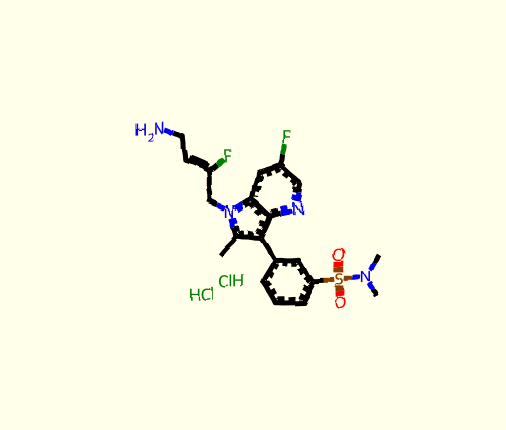 Cc1c(-c2cccc(S(=O)(=O)N(C)C)c2)c2ncc(F)cc2n1C/C(F)=C/CN.Cl.Cl